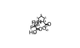 COC(=O)C1CCCN1.O=C(O)C(F)(F)F